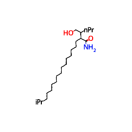 CCCC(CO)C(CCCCCCCCCCCCCCC(C)C)C(N)=O